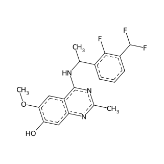 COc1cc2c(NC(C)c3cccc(C(F)F)c3F)nc(C)nc2cc1O